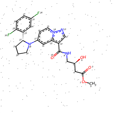 COC(=O)C[C@H](O)CNC(=O)c1cnn2ccc(N3CCC[C@@H]3c3cc(F)ccc3F)cc12